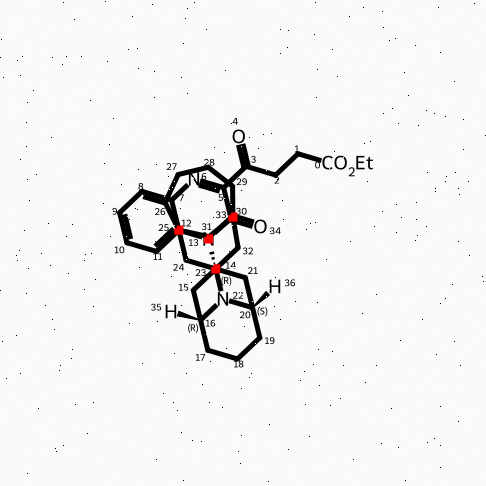 CCOC(=O)CCC(=O)c1nc2ccccc2n([C@H]2C[C@H]3CCC[C@@H](C2)N3C2CC3CCCCC(C3)C2)c1=O